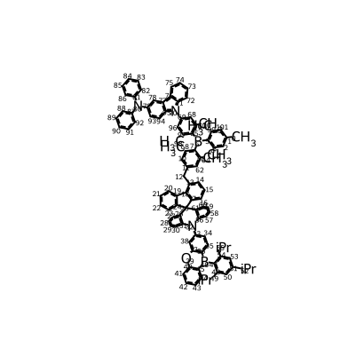 Cc1cc(C)c(B(c2c(C)cc(Cc3cccc4c3-c3ccccc3C43c4ccccc4N(c4ccc5c(c4)Oc4ccccc4B5c4c(C(C)C)cc(C(C)C)cc4C(C)C)c4ccccc43)cc2C)c2c(C)cc(-n3c4ccccc4c4cc(N(c5ccccc5)c5ccccc5)ccc43)cc2C)c(C)c1